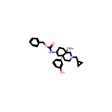 CO[C@]12CC[C@H](NC(=O)OCc3ccccc3)C[C@]1(c1cccc(O)c1)CCN(CC1CC1)C2